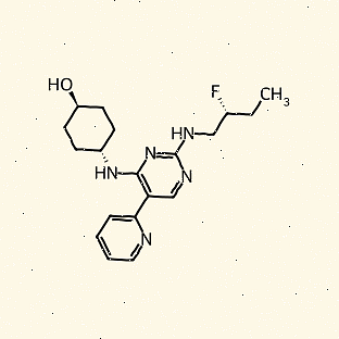 CC[C@@H](F)CNc1ncc(-c2ccccn2)c(N[C@H]2CC[C@H](O)CC2)n1